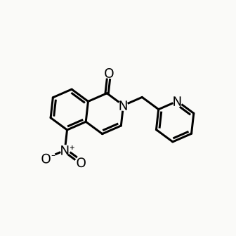 O=c1c2cccc([N+](=O)[O-])c2ccn1Cc1ccccn1